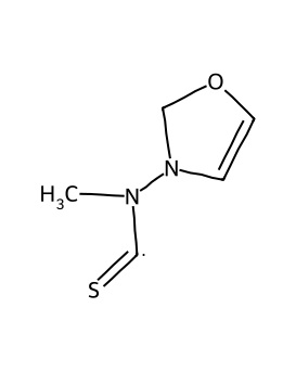 CN([C]=S)N1C=COC1